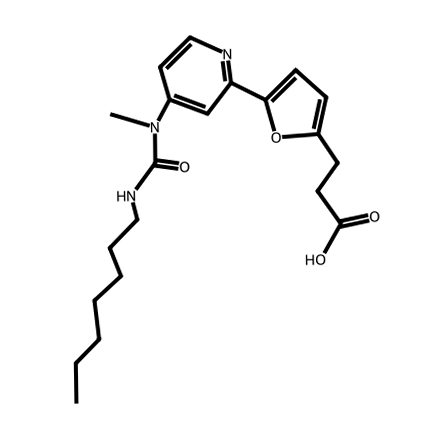 CCCCCCCNC(=O)N(C)c1ccnc(-c2ccc(CCC(=O)O)o2)c1